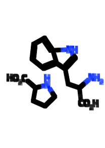 NC(Cc1c[nH]c2ccccc12)C(=O)O.O=C(O)C1CCCN1